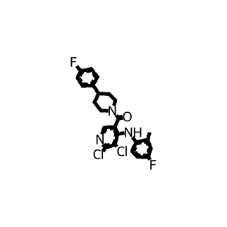 Cc1cc(F)ccc1Nc1c(C(=O)N2CCC(c3ccc(F)cc3)CC2)cnc(Cl)c1Cl